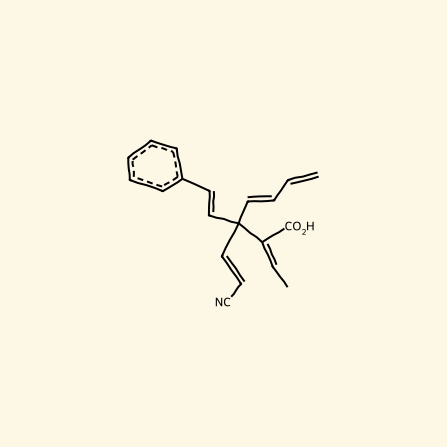 C=CC=CC(C=CC#N)(C=Cc1ccccc1)C(=CC)C(=O)O